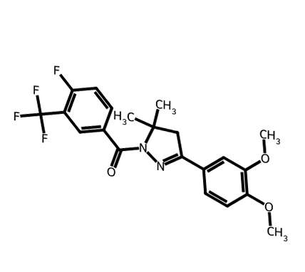 COc1ccc(C2=NN(C(=O)c3ccc(F)c(C(F)(F)F)c3)C(C)(C)C2)cc1OC